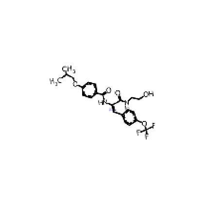 CC(C)COc1ccc(C(=O)N/C(=C/c2ccc(OC(F)(F)F)cc2)C(=O)NCCO)cc1